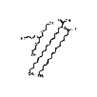 CCCCCCCCCCCCCCCC(=O)O.CCCCCCCCCCCCCCCCCC(=O)O.OCCOCC(COCCO)OCCO